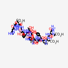 CC(C)C[C@H](NC(=O)[C@H](Cc1ccc(O)cc1)NC(=O)[C@H](CO)NC(=O)[C@H](CO)NC(=O)[C@@H](NC(=O)[C@H](CC(=O)O)NC(=O)[C@H](CO)NC(=O)[C@@H](NC(=O)[C@H](Cc1ccccc1)NC(=O)[C@@H](NC(=O)CNC(=O)[C@H](CCC(=O)O)NC(=O)[C@H](C)NC(=O)[C@@H](N)Cc1c[nH]cn1)[C@@H](C)O)[C@@H](C)O)C(C)C)C(=O)N[C@@H](CCC(=O)O)C(=O)NCC(=O)N[C@@H](CCC(N)=O)C(=O)N[C@@H](C)C(=O)O